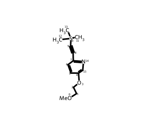 COCCOc1ccc(C#CS(C)(C)C)nc1